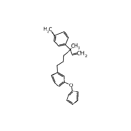 C=CC(C)(CCCc1cccc(Oc2ccccc2)c1)c1ccc(C)cc1